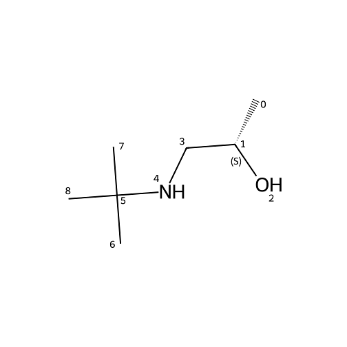 C[C@H](O)CNC(C)(C)C